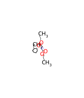 C=Cc1ccccc1.CCCCOC(=O)/C=C/C(=O)OCCCC